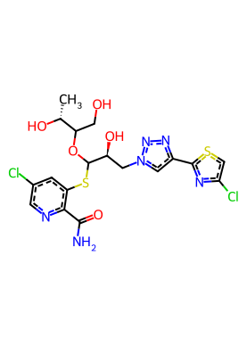 C[C@@H](O)C(CO)OC(Sc1cc(Cl)cnc1C(N)=O)[C@@H](O)Cn1cc(-c2nc(Cl)cs2)nn1